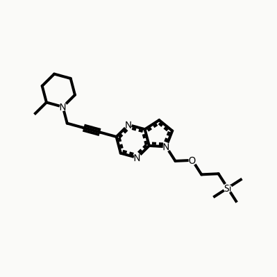 CC1CCCCN1CC#Cc1cnc2c(ccn2COCC[Si](C)(C)C)n1